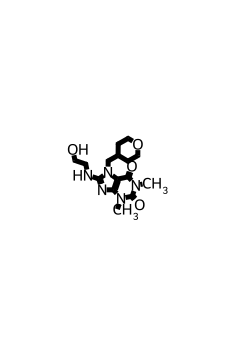 Cn1c(=O)c2c(nc(NCCO)n2CC2CCOCC2)n(C)c1=O